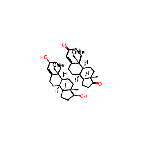 COC[C@]12CCC(=O)C=C1CC[C@@H]1[C@@H]2CC[C@]2(C)C(=O)CC[C@@H]12.COC[C@]12CC[C@H](O)C=C1CC[C@@H]1[C@@H]2CC[C@]2(C)[C@@H](O)CC[C@@H]12